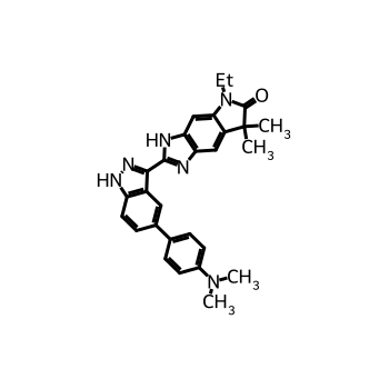 CCN1C(=O)C(C)(C)c2cc3nc(-c4n[nH]c5ccc(-c6ccc(N(C)C)cc6)cc45)[nH]c3cc21